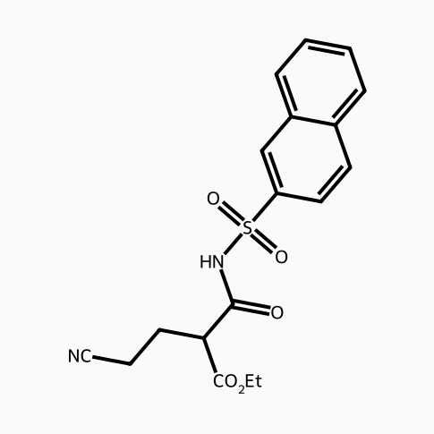 CCOC(=O)C(CCC#N)C(=O)NS(=O)(=O)c1ccc2ccccc2c1